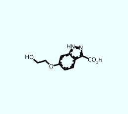 O=C(O)c1n[nH]c2cc(OCCO)ccc12